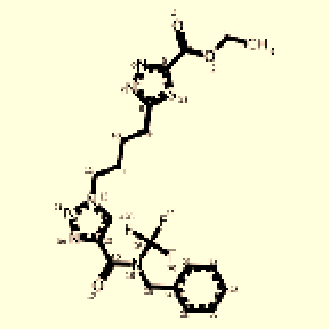 CCOC(=O)c1nnc(CCCCn2cc(C(=O)N(Cc3ccccc3)C(F)(F)F)nn2)s1